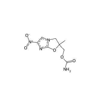 CC1(COC(N)=O)Cn2cc([N+](=O)[O-])nc2O1